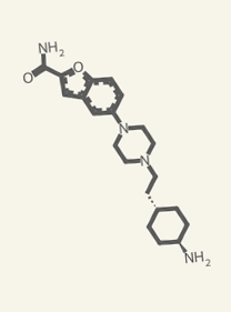 NC(=O)c1cc2cc(N3CCN(CC[C@H]4CC[C@H](N)CC4)CC3)ccc2o1